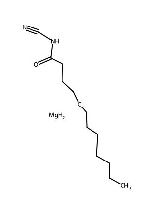 CCCCCCCCCCCC(=O)NC#N.[MgH2]